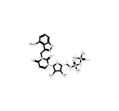 COc1cccc2onc(Cn3c(=O)ccn([C@@H]4O[C@H](COP(=O)(O)OP(=O)(O)O)C(O)C4O)c3=O)c12